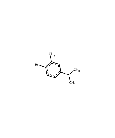 Cc1cc(C(C)C)ccc1Br